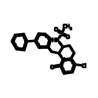 CS(=O)(=O)NC1CCc2c(Cl)ccc(=O)n2C1Cc1cccc(-c2ccccc2)c1